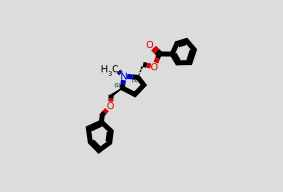 CN1[C@H](COCc2ccccc2)CC[C@H]1COC(=O)c1ccccc1